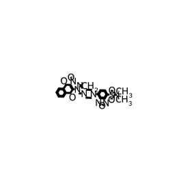 C=NN(CN1CCN(c2ccc(S(=O)(=O)N(C)C)c3nonc23)CC1)C1=C(N=O)C(=O)c2ccccc2C1=O